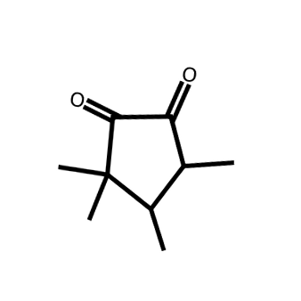 CC1C(=O)C(=O)C(C)(C)C1C